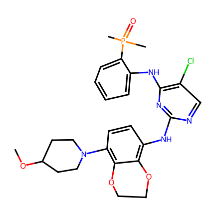 COC1CCN(c2ccc(Nc3ncc(Cl)c(Nc4ccccc4P(C)(C)=O)n3)c3c2OCCO3)CC1